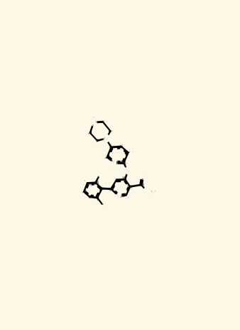 COC(=O)c1cnc(-c2c(F)cccc2F)cc1Nc1ccc(N2CCOCC2)cn1